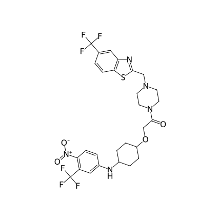 O=C(COC1CCC(Nc2ccc([N+](=O)[O-])c(C(F)(F)F)c2)CC1)N1CCN(Cc2nc3cc(C(F)(F)F)ccc3s2)CC1